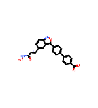 O=C(/C=C/c1ccc2noc(-c3ccc(-c4ccc(C(=O)O)cc4)cc3)c2c1)NO